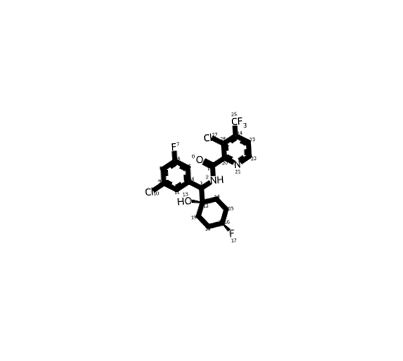 O=C(NC(c1cc(F)cc(Cl)c1)[C@]1(O)CC[C@@H](F)CC1)c1nccc(C(F)(F)F)c1Cl